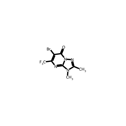 Cc1nn2c(=O)c(Br)c(C(F)(F)F)nc2n1C